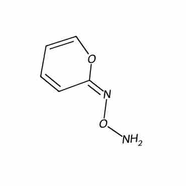 NON=c1cccco1